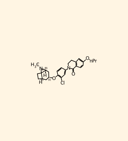 CCCOc1ccc2c(c1)CCN(c1ccc(O[C@H]3C[C@H]4CCC45[C@@H](C3)[N@@]5C)c(Cl)c1)C2=O